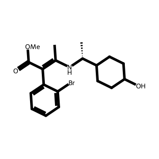 COC(=O)/C(=C(\C)N[C@H](C)C1CCC(O)CC1)c1ccccc1Br